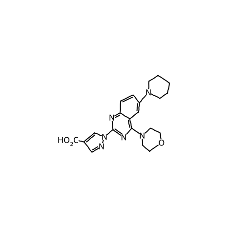 O=C(O)c1cnn(-c2nc(N3CCOCC3)c3cc(N4CCCCC4)ccc3n2)c1